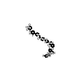 N#Cc1c(NS(=O)(=O)N2CC[C@@H](F)C2)ccc(F)c1Oc1ccc2ncn(-c3cnc(N4CCN(C(=O)CN5CCC(c6ccc(N[C@@H]7CCC(=O)NC7=O)cc6F)CC5)CC4)nc3)c(=O)c2c1